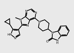 Cn1c(-c2cn[nH]c2C2CC2)nc2c(N3CCC(n4c(=O)[nH]c5ccccc54)CC3)ncnc21